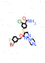 CN1CCN(c2ncc(Sc3ccc(C(N)=O)c(Cl)c3)c(OCc3ccc(F)c(Br)c3)n2)CC1